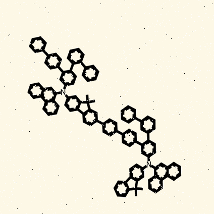 CC1(C)c2ccccc2-c2ccc(N(c3ccc(-c4cccc(-c5ccccc5)c4)c(-c4ccc(-c5ccc(-c6ccc7c(c6)C(C)(C)c6cc(N(c8ccc(-c9ccccc9-c9ccccc9)c(-c9ccc(-c%10ccccc%10)cc9)c8)c8cc9ccccc9c9ccccc89)ccc6-7)cc5)cc4)c3)c3cc4ccccc4c4ccccc34)cc21